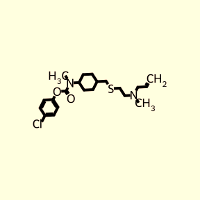 C=CCN(C)CCSCC1CCC(N(C)C(=O)Oc2ccc(Cl)cc2)CC1